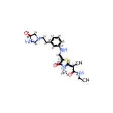 CCn1c(=C(C#N)C(=O)NCC#N)sc(=CNc2cccc(CCN3CNC(=O)C3)c2)c1=O